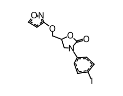 O=C1OC(COc2ccon2)CN1c1ccc(I)cc1